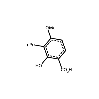 CCCc1c(OC)ccc(C(=O)O)c1O